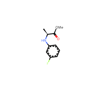 COC(=O)[C@H](C)Nc1cccc(F)c1